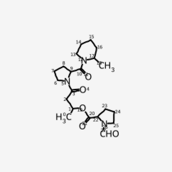 CC(CC(=O)N1CCCC1C(=O)N1CCCCC1C)OC(=O)C1CCCN1C=O